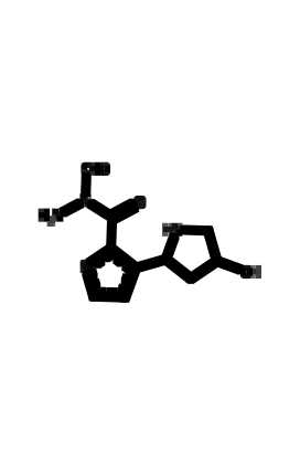 NN(C=O)C(=O)c1sccc1C1CC(O)CN1